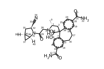 C[C@H](CC1(C(=O)O)c2ccc(C(N)=O)cc2CCc2cc(C(N)=O)ccc21)NCC(=O)N1[C@H](C#N)C[C@@H]2C[C@@H]21